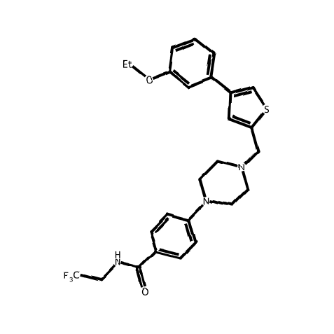 CCOc1cccc(-c2csc(CN3CCN(c4ccc(C(=O)NCC(F)(F)F)cc4)CC3)c2)c1